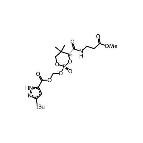 COC(=O)CCNC(=O)[C@@H]1OP(=O)(OCOC(=O)c2cc(C(C)(C)C)n[nH]2)OCC1(C)C